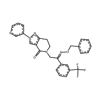 O=C1c2cn(-c3cccnc3)nc2CCN1CC(=NOCc1ccccc1)c1cccc(C(F)(F)F)c1